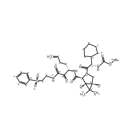 C=CCC[C@H](NC(=O)[C@@H]1[C@@H]2[C@H](CN1C(=O)[C@@H](NC(=O)OC(C)(C)C)C1CCCCC1)C2(C)C)C(=O)C(=O)NCCS(=O)(=O)c1ccccc1